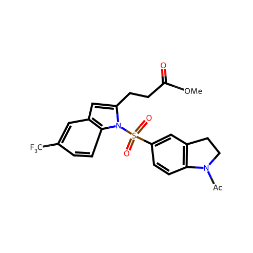 COC(=O)CCc1cc2cc(C(F)(F)F)ccc2n1S(=O)(=O)c1ccc2c(c1)CCN2C(C)=O